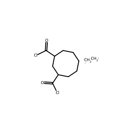 O=C(Cl)[C]1CCCCCC(C(=O)Cl)C1.[CH2].[CH2]